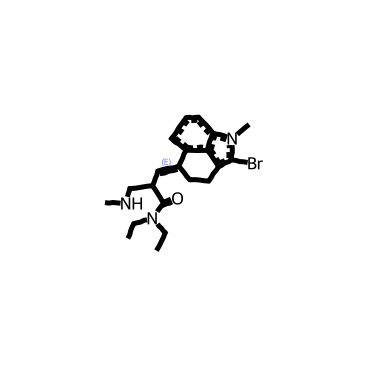 CCN(CC)C(=O)C(/C=C1\CCc2c(Br)n(C)c3cccc1c23)CNC